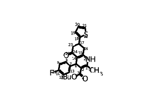 CC1=C(C(=O)OCC(C)C)C(c2ccc(F)cc2)C2=C(CC(c3cccs3)CC2=O)N1